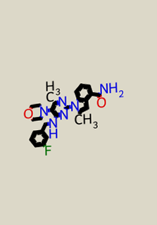 Cc1nc(-n2c(C)cc3c(C(N)=O)cccc32)nc(NCc2cccc(F)c2)c1N1CCOCC1